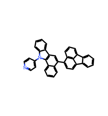 c1ccc2c(c1)-c1cccc3c(-c4cc5c6ccccc6n(-c6ccncc6)c5c5ccccc45)ccc-2c13